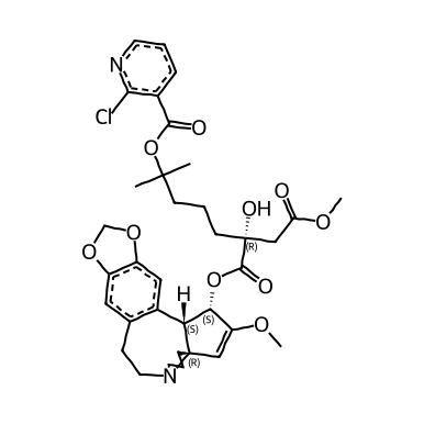 COC(=O)C[C@](O)(CCCC(C)(C)OC(=O)c1cccnc1Cl)C(=O)O[C@@H]1C(OC)=C[C@]23CCCN2CCc2cc4c(cc2[C@H]13)OCO4